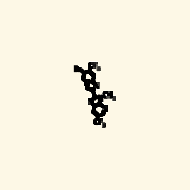 Cn1c(-c2cn3cc(Br)c(C(F)(F)F)cc3n2)nc2cc(C(F)(F)F)cnc21